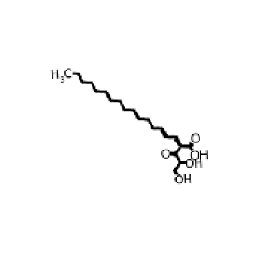 CCCCCCCCCCCCC/C=C/C=C(/C(=O)O)C(=O)C(O)CO